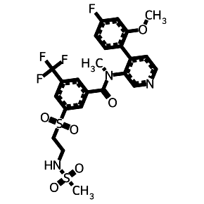 COc1cc(F)ccc1-c1ccncc1N(C)C(=O)c1cc(C(F)(F)F)cc(S(=O)(=O)CCNS(C)(=O)=O)c1